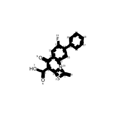 C=c1sc2c(C(=O)O)c(=O)c3cc(F)c(-c4ccccc4)cc3n12